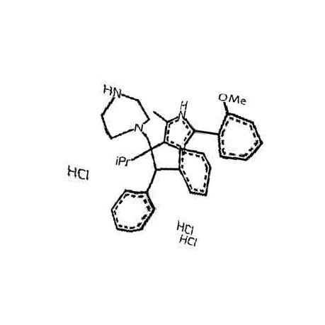 COc1ccccc1-c1nc(C(C(C)C)(C(c2ccccc2)c2ccccc2)N2CCNCC2)c(C)[nH]1.Cl.Cl.Cl